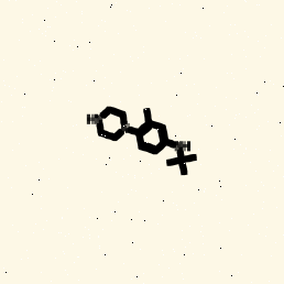 Cc1cc(NC(C)(C)C)ccc1N1CCNCC1